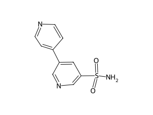 NS(=O)(=O)c1cncc(-c2ccncc2)c1